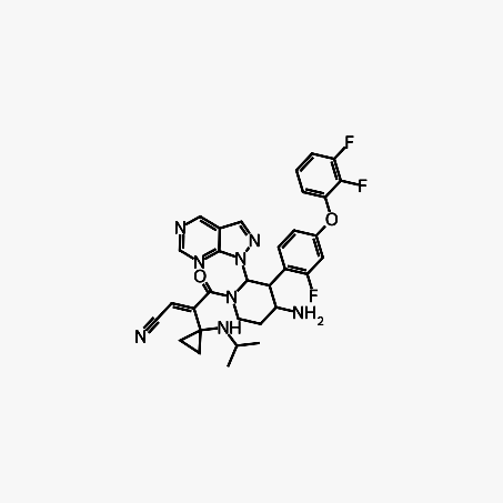 CC(C)NC1(C(=CC#N)C(=O)N2CCC(N)C(c3ccc(Oc4cccc(F)c4F)cc3F)C2n2ncc3cncnc32)CC1